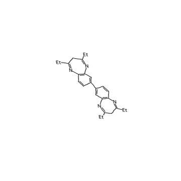 CCC1=Nc2ccc(-c3ccc4c(c3)N=C(CC)CC(CC)=N4)cc2N=C(CC)C1